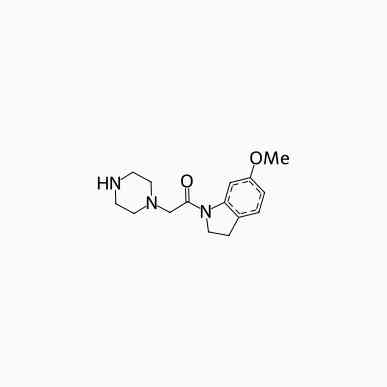 COc1ccc2c(c1)N(C(=O)CN1CCNCC1)CC2